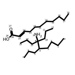 CCCCC(CCC)C(N)(CCC)CCC.CCCCCCCCC=CC(=O)O